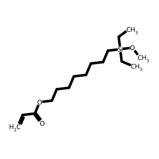 C=CC(=O)OCCCCCCCC[Si](CC)(CC)OC